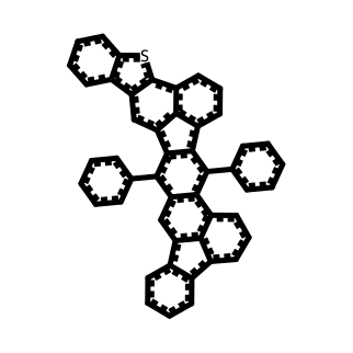 c1ccc(-c2c3cc4c5ccccc5c5cccc(c3c(-c3ccccc3)c3c6cccc7c8sc9ccccc9c8cc(c23)c76)c54)cc1